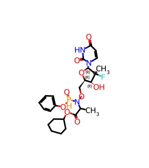 CC(C(=O)OC1CCCCC1)N(OC[C@H]1O[C@@H](n2ccc(=O)[nH]c2=O)[C@](C)(F)[C@@H]1O)[PH](=O)Oc1ccccc1